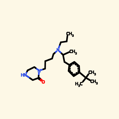 CCCN(CCCCN1CCNCC1=O)C(C)Cc1ccc(C(C)(C)C)cc1